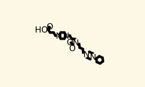 O=C(O)CCCN1CCN(CC2CN(CCCCN3CCN(C4CCCCC4)CC3)C(=O)O2)CC1